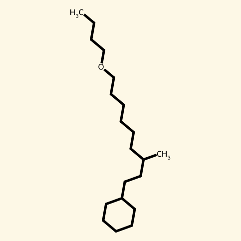 CCCCOCCCCCCC(C)CCC1CCCCC1